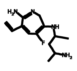 C=CC1=CC(F)=C(NC(C)CC(C)N)CN=C1N